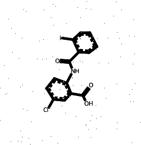 O=C(Nc1ccc(Cl)cc1C(=O)O)c1ccccc1I